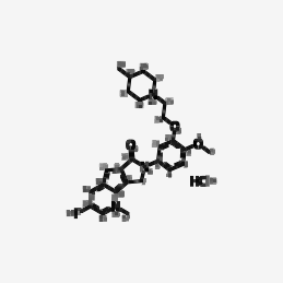 COc1ccc(N2Cc3c(cc4cc(F)cn(C)c3-4)C2=O)cc1OCCN1CCC(C)CC1.Cl